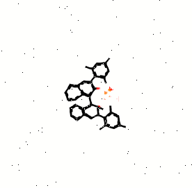 Cc1cc(C)c(-c2cc3ccccc3c3c2OP(=O)(O)OC2(C)C3=c3ccccc3=CC2c2c(C)cc(C)cc2C)c(C)c1